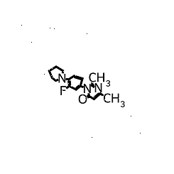 Cc1cc(=O)n(-c2ccc(N3CCCCC3)c(F)c2)c(C)n1